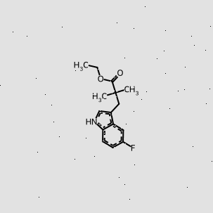 CCOC(=O)C(C)(C)Cc1c[nH]c2ccc(F)cc12